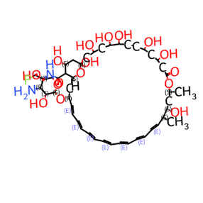 C[C@H]1C[C@H](O)[C@@H](C)/C=C/C=C/C=C/C=C/C=C/C=C/C=C/[C@H](O[C@@H]2OC[C@@H](O)[C@H](N)[C@@H]2O)C[C@@H]2O[C@](O)(CC(O)CC(O)C(O)CCC(O)CC(O)CC(=O)O1)C[C@H](O)C2C(=O)NCCF